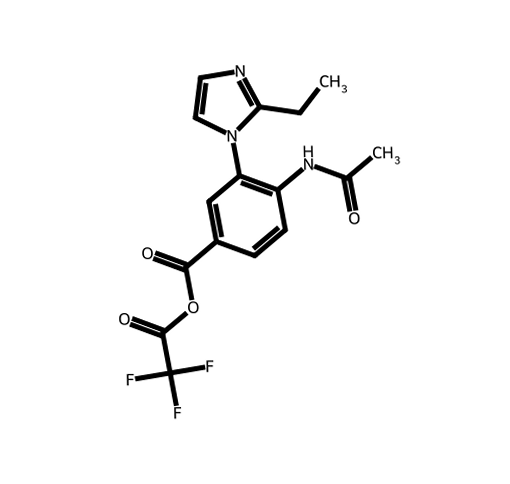 CCc1nccn1-c1cc(C(=O)OC(=O)C(F)(F)F)ccc1NC(C)=O